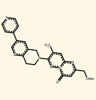 COCc1cc(=O)n2nc(N3CCc4ncc(-c5ccncc5)cc4C3)c(C)cc2n1